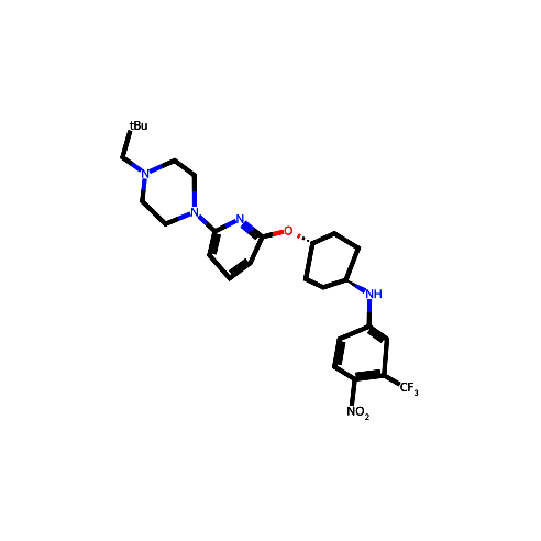 CC(C)(C)CN1CCN(c2cccc(O[C@H]3CC[C@H](Nc4ccc([N+](=O)[O-])c(C(F)(F)F)c4)CC3)n2)CC1